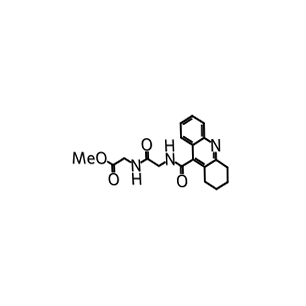 COC(=O)CNC(=O)CNC(=O)c1c2c(nc3ccccc13)CCCC2